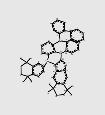 CC1(C)CCC(C)(C)c2cc(N3c4cccc5c4B(c4ccccc4N5c4ccccc4-c4ccccc4)c4sc5cc6c(cc5c43)C(C)(C)CCC6(C)C)ccc21